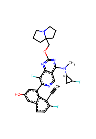 C#Cc1c(F)ccc2cc(O)cc(-c3ncc4c(N(C)[C@H]5CC5F)nc(OCC56CCCN5CCC6)nc4c3F)c12